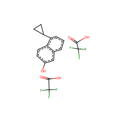 O=C(O)C(F)(F)F.O=C(O)C(F)(F)F.Oc1ccc2c(C3CC3)cccc2c1